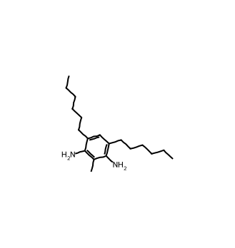 CCCCCCc1cc(CCCCCC)c(N)c(C)c1N